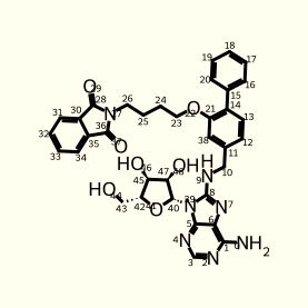 Nc1ncnc2c1nc(NCc1ccc(-c3ccccc3)c(OCCCCN3C(=O)c4ccccc4C3=O)c1)n2[C@@H]1O[C@H](CO)[C@@H](O)[C@H]1O